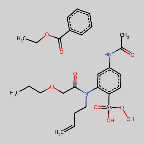 C=CCCN(C(=O)COCCC)c1cc(NC(C)=O)ccc1[As](=O)(O)OO.CCOC(=O)c1ccccc1